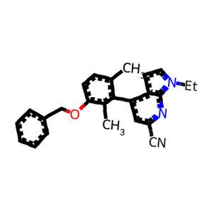 CCn1ccc2c(-c3c(C)ccc(OCc4ccccc4)c3C)cc(C#N)nc21